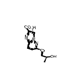 C[C@H](O)COc1ccc2nc(C(=O)O)cn2n1